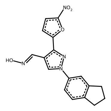 O=[N+]([O-])c1ccc(-c2nn(-c3ccc4c(c3)CCC4)cc2C=NO)o1